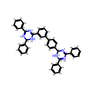 c1ccc(C2=NC(c3ccc(-c4cccc(C5=NC(c6ccccc6)=NC(c6ccccc6)N5)c4)cc3)NC(c3ccccc3)=N2)cc1